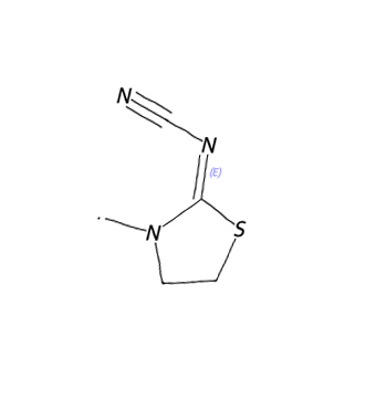 [CH2]N1CCS/C1=N/C#N